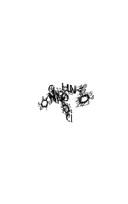 NN(Cc1ccccc1)C(=O)[C@H](CCCCNC1CC1c1ccccc1)NC(=O)c1ccc(Cl)cc1